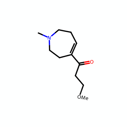 COCCC(=O)C1=CCCN(C)CC1